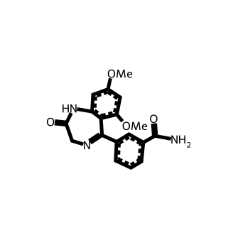 COc1cc2c(c(OC)c1)C(c1cccc(C(N)=O)c1)=NCC(=O)N2